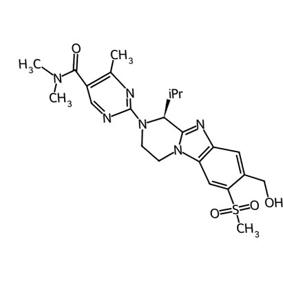 Cc1nc(N2CCn3c(nc4cc(CO)c(S(C)(=O)=O)cc43)[C@@H]2C(C)C)ncc1C(=O)N(C)C